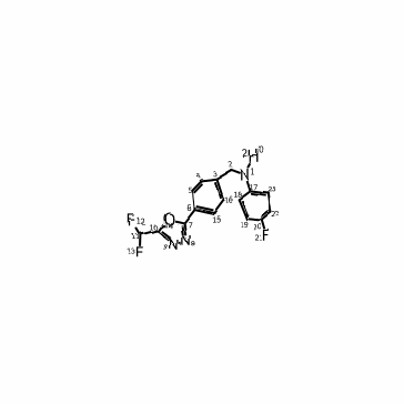 [2H]N(Cc1ccc(-c2nnc(C(F)F)o2)cc1)c1ccc(F)cc1